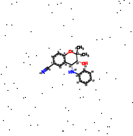 CC1(C)Oc2ccc(C#N)cc2[C@@H](Nc2ccccc2)[C@H]1O